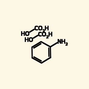 Nc1ccccc1.O=C(O)O.O=C(O)O